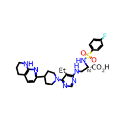 CCc1c(NC[C@H](NS(=O)(=O)c2ccc(F)cc2)C(=O)O)ncnc1N1CCC(c2ccc3c(n2)NCCC3)CC1